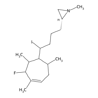 CC1=CCC(C)C(C(I)CCC[C@@H]2CN2C)C(C)C1F